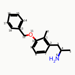 Cc1c(CC(C)N)cccc1OCc1ccccc1